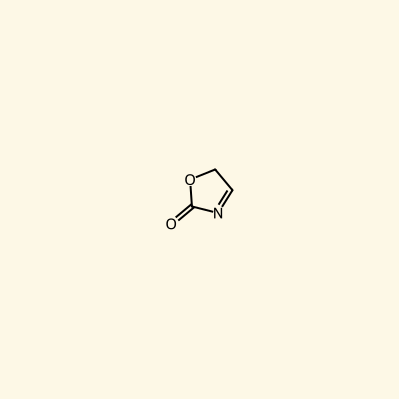 O=C1N=CCO1